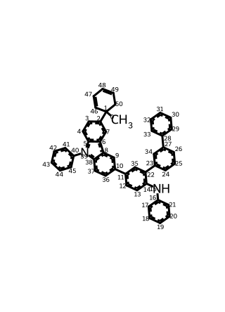 CC1(c2ccc3c(c2)c2cc(-c4ccc(Nc5ccccc5)c(-c5cccc(-c6ccccc6)c5)c4)ccc2n3-c2ccccc2)C=CC=CC1